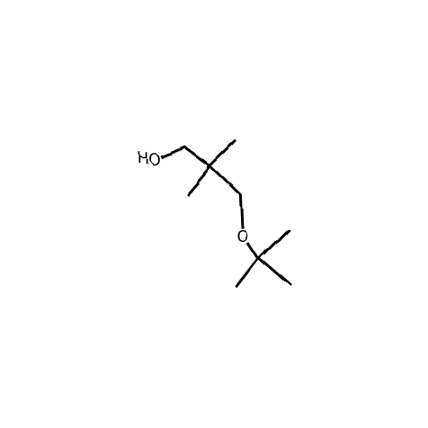 CC(C)(CO)COC(C)(C)C